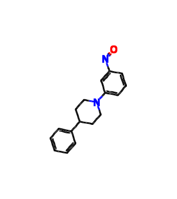 O=Nc1cccc(N2CCC(c3ccccc3)CC2)c1